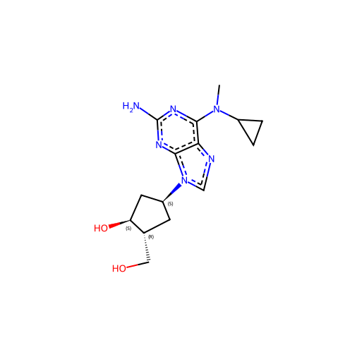 CN(c1nc(N)nc2c1ncn2[C@H]1C[C@H](CO)[C@@H](O)C1)C1CC1